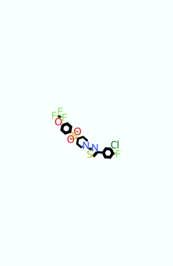 O=S(=O)(c1ccc(OC(F)(F)F)cc1)C1CCN(c2nc(-c3ccc(F)c(Cl)c3)cs2)CC1